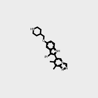 Cc1c(-c2[nH]c3ccc(OCC4CCNCC4)cc3c2C(C)C)cn2cnnc2c1C